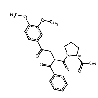 COc1ccc(C(=O)CC(C(=O)c2ccccc2)C(=S)N2CCC[C@H]2C(=O)O)cc1OC